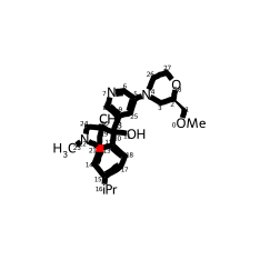 COC[C@H]1CN(c2cncc(C(O)(c3ccc(C(C)C)cc3)C3(C)CN(C)C3)c2)CCO1